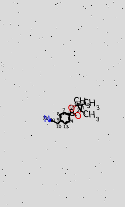 CC1C2(C)OB(c3ccc(CC#N)cc3)OC12C